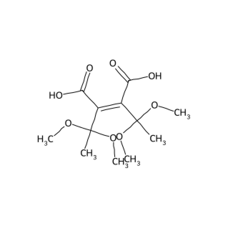 COC(C)(OC)/C(C(=O)O)=C(/C(=O)O)C(C)(OC)OC